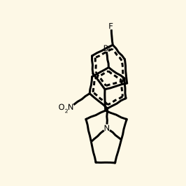 O=[N+]([O-])c1cc(Br)ccc1N1C2CCC1CC(c1ccc(F)cc1)C2